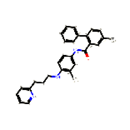 O=C(Nc1ccc(NCCCc2ccccn2)c([N+](=O)[O-])c1)c1cc(C(F)(F)F)ccc1-c1ccccc1